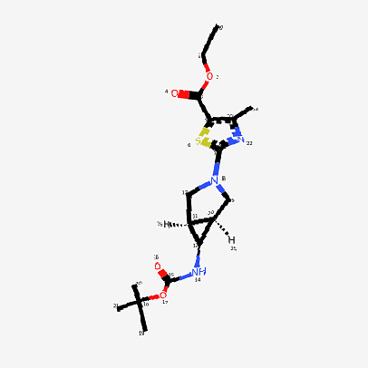 CCOC(=O)c1sc(N2C[C@@H]3[C@H](C2)[C@@H]3NC(=O)OC(C)(C)C)nc1C